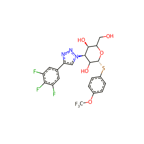 OCC1O[C@H](Sc2ccc(OC(F)(F)F)cc2)C(O)[C@@H](n2cc(-c3cc(F)c(F)c(F)c3)nn2)[C@H]1O